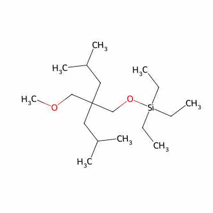 CC[Si](CC)(CC)OCC(COC)(CC(C)C)CC(C)C